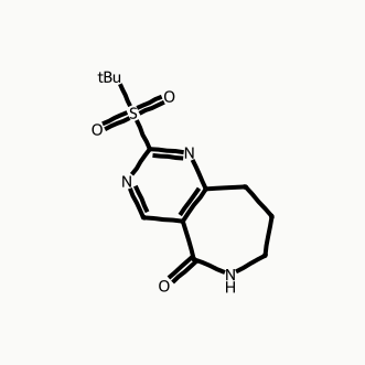 CC(C)(C)S(=O)(=O)c1ncc2c(n1)CCCNC2=O